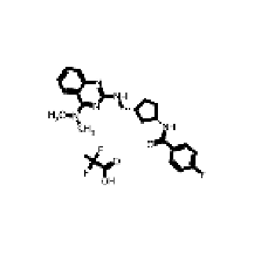 CN(C)c1nc(NC[C@@H]2CC[C@H](NC(=O)c3ccc(F)cc3)C2)nc2ccccc12.O=C(O)C(F)(F)F